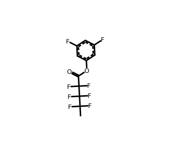 CC(F)(F)C(F)(F)C(F)(F)C(=O)Oc1cc(F)cc(F)c1